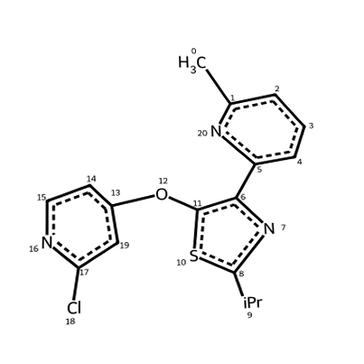 Cc1cccc(-c2nc(C(C)C)sc2Oc2ccnc(Cl)c2)n1